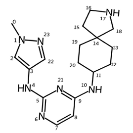 Cn1cc(Nc2nccc(NC3CCC4(CCNC4)CC3)n2)cn1